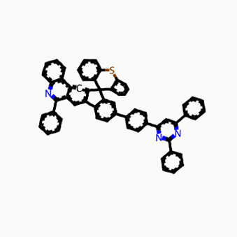 c1ccc(-c2cc(-c3ccc(-c4ccc5c(c4)C4(c6ccccc6Sc6ccccc64)c4cc6c(cc4-5)c(-c4ccccc4)nc4ccccc46)cc3)nc(-c3ccccc3)n2)cc1